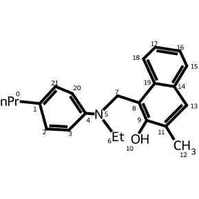 CCCc1ccc(N(CC)Cc2c(O)c(C)cc3ccccc23)cc1